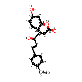 COc1ccc(/C=C/C(=O)c2cc(=O)oc3cc(O)ccc23)cc1